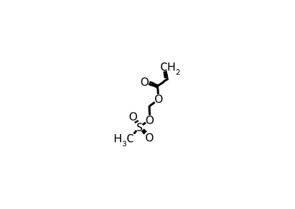 C=CC(=O)OCOS(C)(=O)=O